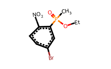 CCOP(C)(=O)c1cc(Br)ccc1[N+](=O)[O-]